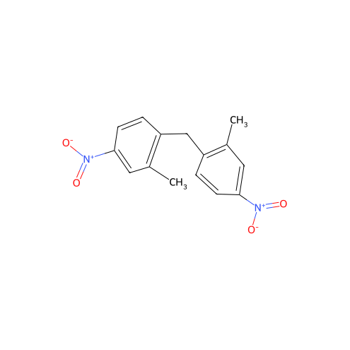 Cc1cc([N+](=O)[O-])ccc1Cc1ccc([N+](=O)[O-])cc1C